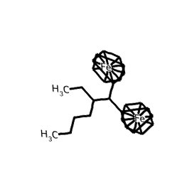 CCCCC(CC)C([C]12[CH]3[CH]4[CH]5[CH]1[Fe]45321678[CH]2[CH]1[CH]6[CH]7[CH]28)[C]12[CH]3[CH]4[CH]5[CH]1[Fe]45321678[CH]2[CH]1[CH]6[CH]7[CH]28